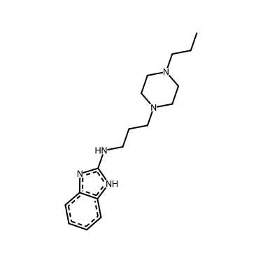 CCCN1CCN(CCCNc2nc3ccccc3[nH]2)CC1